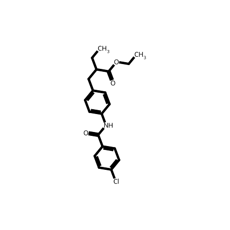 CCOC(=O)C(CC)Cc1ccc(NC(=O)c2ccc(Cl)cc2)cc1